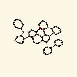 c1ccc(B2c3ccccc3-c3c2cc2ccc4c(-c5ccccc5-c5ccccc5)cc(-c5ccccc5-c5ccccc5)c5ccc3c2c45)cc1